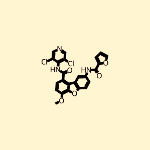 COc1ccc(C(=O)Nc2c(Cl)cncc2Cl)c2c1oc1ccc(NC(=O)c3ccco3)cc12